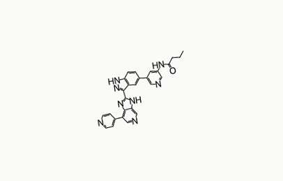 CCCC(=O)Nc1cncc(-c2ccc3[nH]nc(-c4nc5c(-c6ccncc6)cncc5[nH]4)c3c2)c1